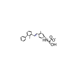 COC(=O)[C@@H](CO)NCc1ccc(/C=C/c2cccc(-c3ccccc3)c2C)c(C)c1